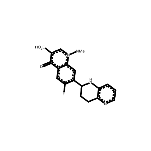 CNn1cc(C(=O)O)c(=O)c2cc(F)c(C3CCc4ncccc4N3)cc21